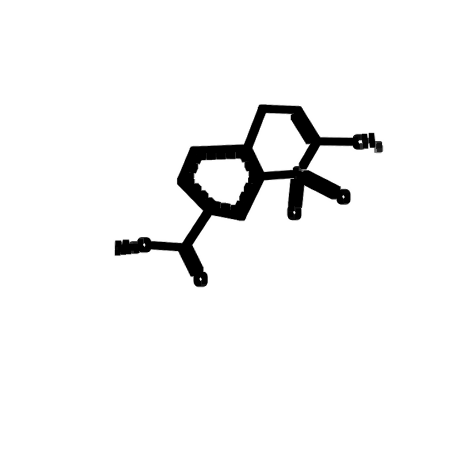 COC(=O)c1ccc2c(c1)S(=O)(=O)C(C)=CC2